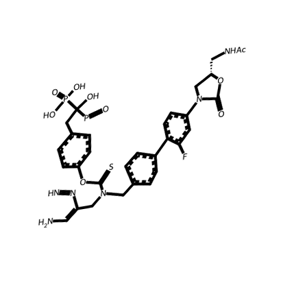 CC(=O)NC[C@H]1CN(c2ccc(-c3ccc(CN(C/C(=C/N)N=N)C(=S)Oc4ccc(CC(O)(P=O)P(=O)(O)O)cc4)cc3)c(F)c2)C(=O)O1